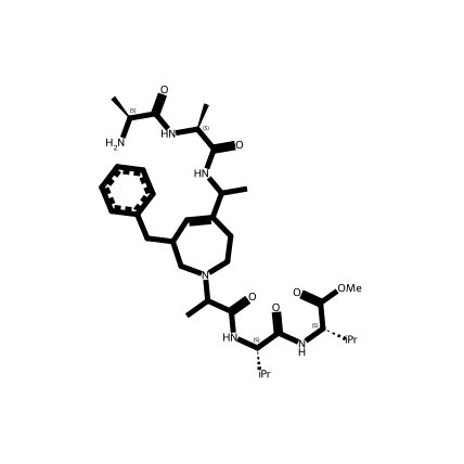 COC(=O)[C@@H](NC(=O)[C@@H](NC(=O)C(C)N1CCC(C(C)NC(=O)[C@H](C)NC(=O)[C@H](C)N)=CC(Cc2ccccc2)C1)C(C)C)C(C)C